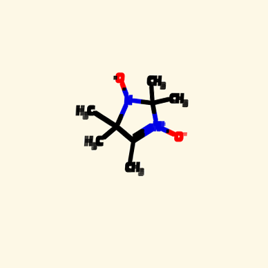 CC1=[N+]([O-])C(C)(C)N([O])C1(C)C